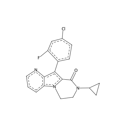 O=C1c2c(-c3ccc(Cl)cc3F)c3ncccc3n2CCN1C1CC1